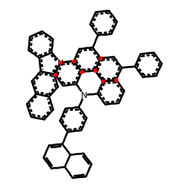 C1=CC2C=CC=C(c3ccc(N(c4ccccc4-c4ccc(-c5ccccc5)cc4)c4ccccc4-c4cc(-c5ccccc5)cc(-n5c6ccccc6c6cc7ccccc7cc65)c4)cc3)C2C=C1